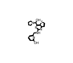 Oc1cccc(CNc2nc(C(O)N3CCCC3)c3sccc3n2)n1